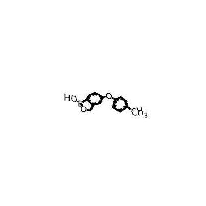 Cc1ccc(Oc2ccc3c(c2)COB3O)cc1